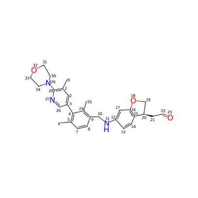 Cc1cc(-c2c(C)ccc(CNc3ccc4c(c3)OC[C@H]4CC=O)c2C)cnc1N1CCOCC1